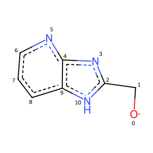 [O]Cc1nc2ncccc2[nH]1